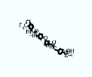 O=C(Nc1ccc(Oc2ccnc(C(=O)NOCc3ccc(B(O)O)cc3)c2)cc1)Nc1ccc(Cl)c(C(F)(F)F)c1